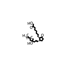 C=CC(O)(CC=C[C@H]1CCC(=O)[C@@H]1CCCCCCC(=O)CO)CCCC